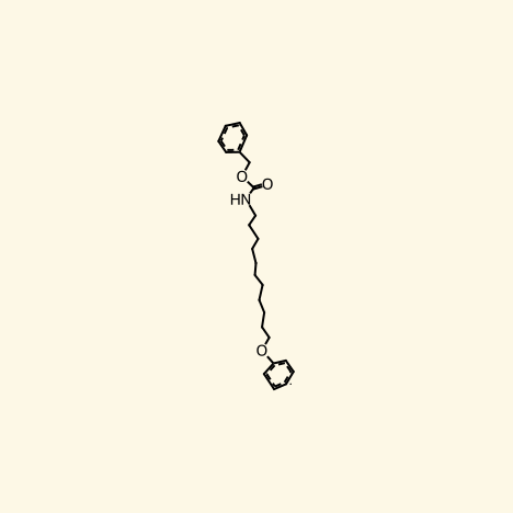 O=C(NCCCCCCCCCCCOc1cc[c]cc1)OCc1ccccc1